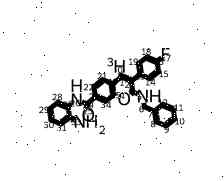 [3H]C(=C(C(=O)NCc1ccccc1)c1ccc(F)cc1)c1ccc(C(=O)Nc2ccccc2N)cc1